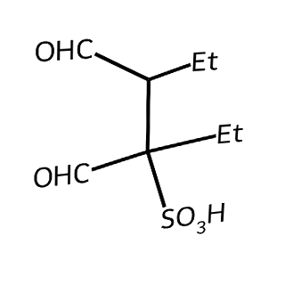 CCC(C=O)C(C=O)(CC)S(=O)(=O)O